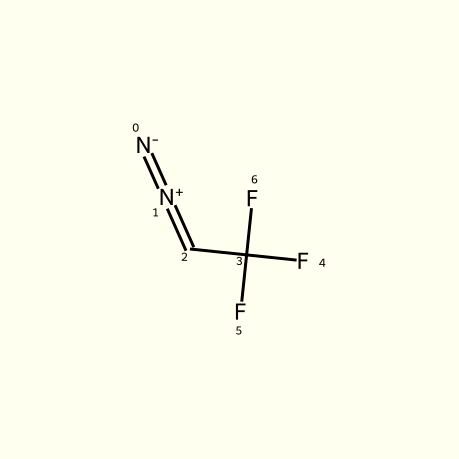 [N-]=[N+]=CC(F)(F)F